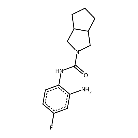 Nc1cc(F)ccc1NC(=O)N1CC2CCCC2C1